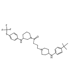 CC(C)(C)c1ccc(NC2CCN(CCCC(=O)N3CCCC(Nc4ccc(SC(F)(F)F)cc4)C3)CC2)cc1